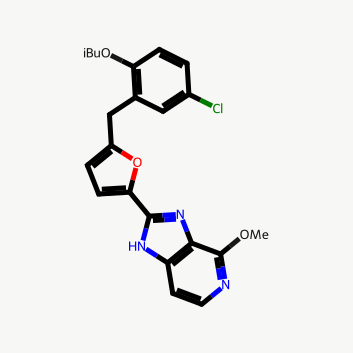 COc1nccc2[nH]c(-c3ccc(Cc4cc(Cl)ccc4OCC(C)C)o3)nc12